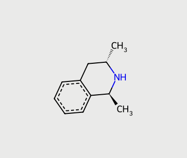 C[C@@H]1N[C@@H](C)Cc2ccccc21